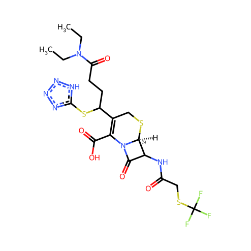 CCN(CC)C(=O)CCC(Sc1nnn[nH]1)C1=C(C(=O)O)N2C(=O)C(NC(=O)CSC(F)(F)F)[C@@H]2SC1